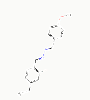 CCc1ccc(C=NN=Cc2ccc(OC)cc2)c(F)c1